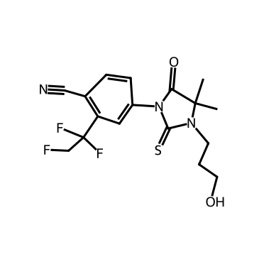 CC1(C)C(=O)N(c2ccc(C#N)c(C(F)(F)CF)c2)C(=S)N1CCCO